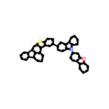 c1ccc2c(c1)-c1cccc3c1c-2cc1sc2ccc(-c4ccc5c(c4)c4ccccc4n5-c4ccc5c(c4)oc4ccccc45)cc2c13